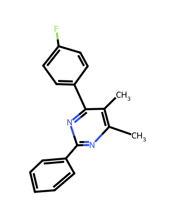 Cc1nc(-c2ccccc2)nc(-c2ccc(F)cc2)c1C